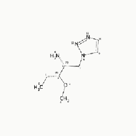 CC[C@@H](OC)[C@H](N)Cn1ccnn1